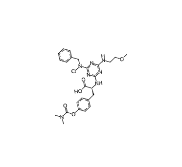 COCCNc1nc(N[C@@H](Cc2ccc(OC(=O)N(C)C)cc2)C(=O)O)nc(N(Cl)Cc2ccccc2)n1